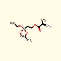 C=C(C)C(=O)OCC[Si](OC)(OCC)OCC